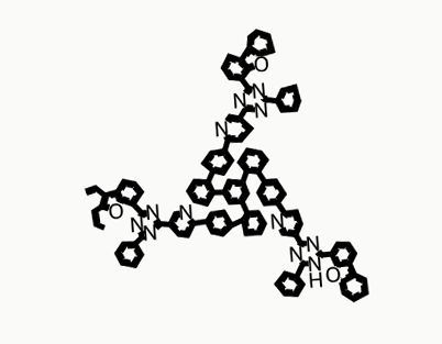 C=Cc1c(/C=C\C)oc2c(-c3nc(-c4ccccc4)nc(-c4ccc(-c5ccc(-c6ccccc6-c6cc(-c7ccccc7-c7ccc(-c8ccc(C9=NC(c%10ccccc%10)NC(c%10cccc%11c%10oc%10ccccc%10%11)=N9)cn8)cc7)cc(-c7ccccc7-c7ccc(-c8ccc(-c9nc(-c%10ccccc%10)nc(-c%10cccc%11c%10oc%10ccccc%10%11)n9)cn8)cc7)c6)cc5)nc4)n3)cccc12